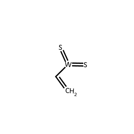 C=[CH][W](=[S])=[S]